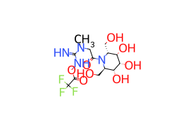 CN(CC(=O)N1[C@H](CO)[C@H](O)[C@H](O)[C@H](O)[C@H]1CO)C(=N)NOC(=O)C(F)(F)F